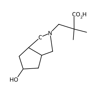 CC(C)(CN1CC2CC(O)CC2C1)C(=O)O